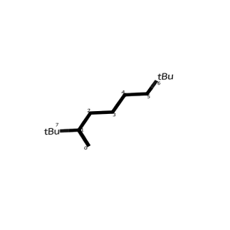 CC(CCCCC(C)(C)C)C(C)(C)C